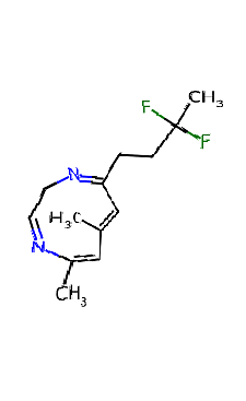 CC1=C/C(C)=C/C(CCC(C)(F)F)=N\C/C=N\1